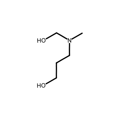 CN(CO)CCCO